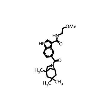 COCCNC(=O)c1c[nH]c2ccc(C(=O)N3CC4(C)CC3CC(C)(C)C4)cc12